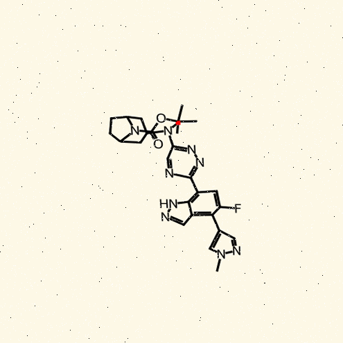 CN(c1cnc(-c2cc(F)c(-c3cnn(C)c3)c3cn[nH]c23)nn1)C1CC2CCC(C1)N2C(=O)OC(C)(C)C